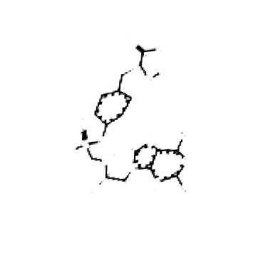 CCCCCCCCN[C@@H](Cc1ccc(OP(=O)(O)CO[C@H](C)Cn2cnc3c(N)nc(N)nc32)cc1)C(N)=O